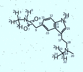 [2H]N(C([2H])([2H])[2H])S(=O)(=O)Cc1ccc2c(c1)c(CCN(C)C([2H])([2H])[2H])cn2[2H]